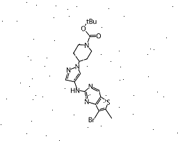 Cc1sc2cnc(Nc3cnn(C4CCN(C(=O)OC(C)(C)C)CC4)c3)nc2c1Br